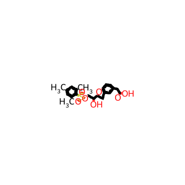 Cc1cc(C)c(S(=O)(=O)OCC(O)C2Cc3cc(CC(=O)O)ccc3O2)c(C)c1